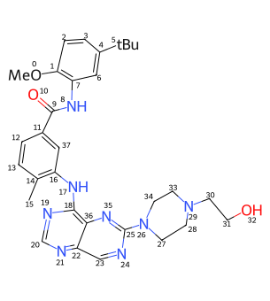 COc1ccc(C(C)(C)C)cc1NC(=O)c1ccc(C)c(Nc2ncnc3cnc(N4CCN(CCO)CC4)nc23)c1